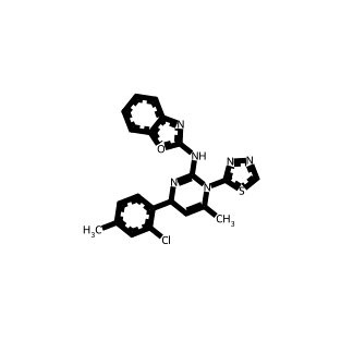 CC1=CC(c2ccc(C)cc2Cl)N=C(Nc2nc3ccccc3o2)N1c1nncs1